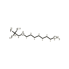 CCCCCCCCOCC(F)(F)F